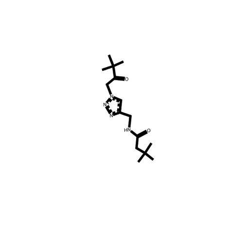 CC(C)(C)CC(=O)NCc1cn(CC(=O)C(C)(C)C)nn1